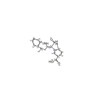 CN1C/C(=C2/C(=O)Nc3ccc(C(=O)O)cc32)Nc2ccccc21